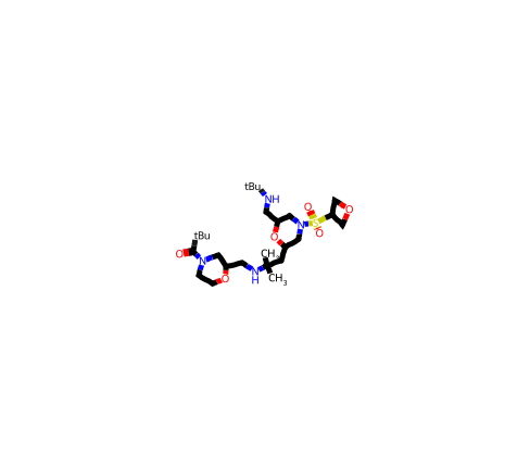 CC(C)(C)NCC1CN(S(=O)(=O)C2COC2)CC(CC(C)(C)NCC2CN(C(=O)C(C)(C)C)CCO2)O1